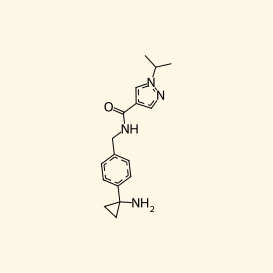 CC(C)n1cc(C(=O)NCc2ccc(C3(N)CC3)cc2)cn1